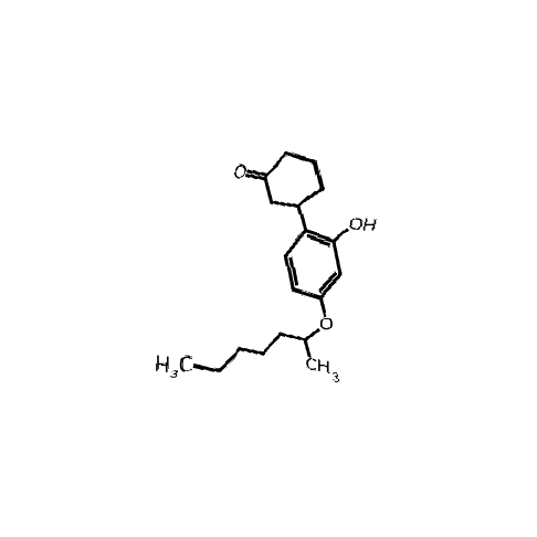 CCCCCC(C)Oc1ccc(C2CCCC(=O)C2)c(O)c1